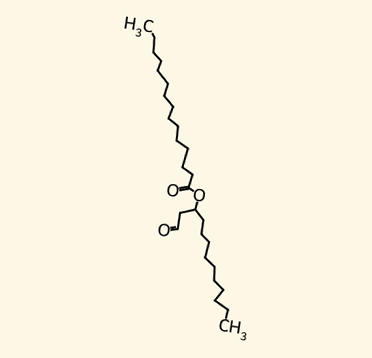 CCCCCCCCCCCCCCC(=O)OC(CC=O)CCCCCCCCCC